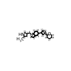 C[C@@H]1CC(Cn2ccc3cc(-c4cnn(C5CCCCO5)c4)ccc32)CN1